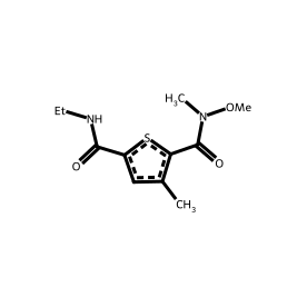 CCNC(=O)c1cc(C)c(C(=O)N(C)OC)s1